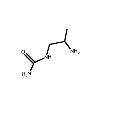 CC(N)CNC(N)=O